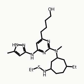 CCSNC1CCC(CC)CC(N(C)c2nc(CCCCO)cc(Nc3cc(C)[nH]n3)n2)C1